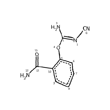 N#CN=C(N)Oc1ccccc1C(N)=O